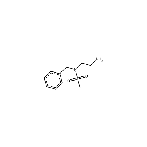 CS(=O)(=O)N(CCN)Cc1ccccc1